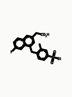 CCS(=O)(=O)c1ccc(Cc2cc(CC(=O)O)cc3ccc(F)cc23)c(C)c1